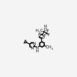 Cc1cc(Nc2ncc(C3CC3)cn2)cc(-c2cnc(C(C)(O)C(F)(F)F)s2)c1